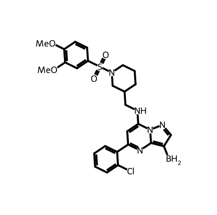 Bc1cnn2c(NCC3CCCN(S(=O)(=O)c4ccc(OC)c(OC)c4)C3)cc(-c3ccccc3Cl)nc12